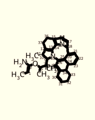 C/C=C(\N)OC(C)[C@@H](C)C1[C@H](C)C2=C3C4=C(C=CC(N4)C4=CC=CC5C4=C(C(C(C)C)=C4C=CCCC45)N31)CC2